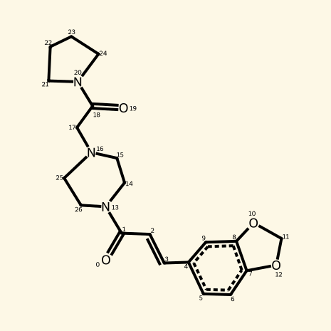 O=C(C=Cc1ccc2c(c1)OCO2)N1CCN(CC(=O)N2CCCC2)CC1